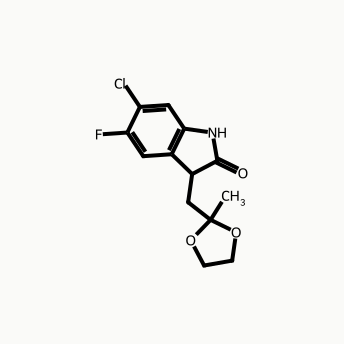 CC1(CC2C(=O)Nc3cc(Cl)c(F)cc32)OCCO1